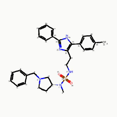 CN([C@@H]1CCN(Cc2ccccc2)C1)S(=O)(=O)NCCc1nc(-c2ccccc2)[nH]c1-c1ccc(C(F)(F)F)cc1